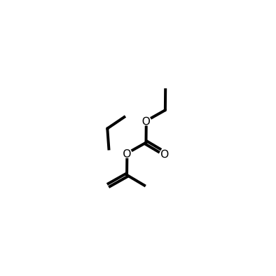 C=C(C)OC(=O)OCC.CCC